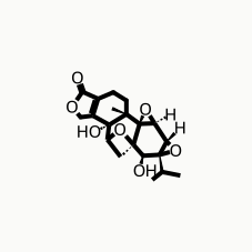 CC(C)[C@]12O[C@H]1[C@@H]1O[C@@]13[C@@]1(C)CCC4=C(COC4=O)[C@]1(O)C1C[C@@]3(O1)[C@@H]2O